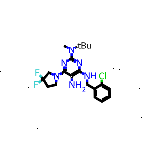 CN(c1nc(NCc2ccccc2Cl)c(N)c(N2CCC(F)(F)C2)n1)C(C)(C)C